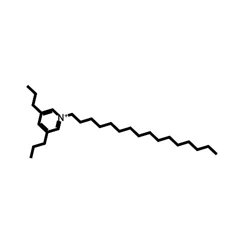 CCCCCCCCCCCCCCCC[n+]1cc(CCC)cc(CCC)c1